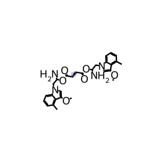 COc1cn(CC(N)OC(=O)/C=C/C(=O)OC(N)Cn2cc(OC)c3c(C)cccc32)c2cccc(C)c12